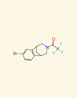 O=C(N1CC2CC(C1)c1cc(Br)ccc12)C(F)(F)F